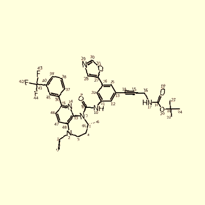 CCN1CC[C@@H](C)N(C(=O)Nc2cc(C#CCNC(=O)OC(C)(C)C)cc(-c3cnco3)c2)c2nc(-c3cccc(C(F)(F)F)c3)ccc21